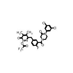 Cc1c(Cc2ccc(F)c(C(=O)N3CCN(c4cc(Cl)cc(Cl)c4)C(=O)C3)c2)nn(OC(=O)C(F)(F)F)c(=O)c1C